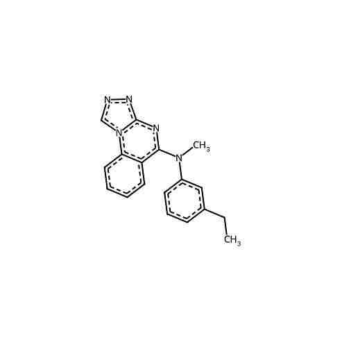 CCc1cccc(N(C)c2nc3nncn3c3ccccc23)c1